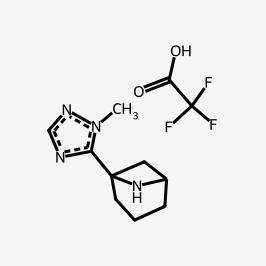 Cn1ncnc1C12CCCC(C1)N2.O=C(O)C(F)(F)F